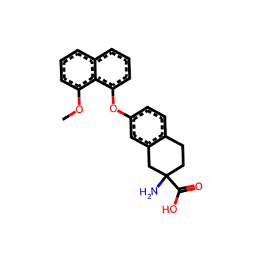 COc1cccc2cccc(Oc3ccc4c(c3)CC(N)(C(=O)O)CC4)c12